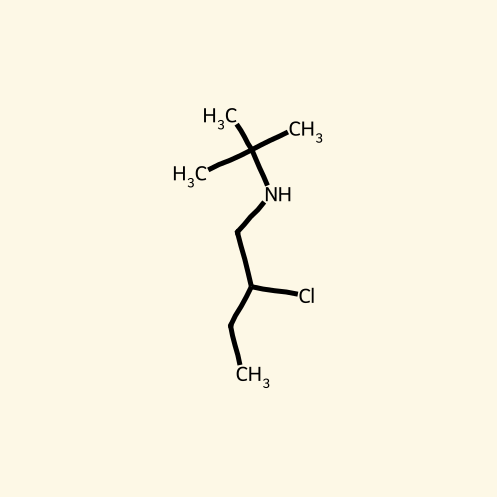 CCC(Cl)CNC(C)(C)C